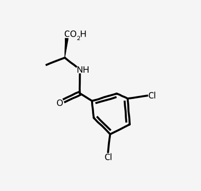 C[C@H](NC(=O)c1cc(Cl)cc(Cl)c1)C(=O)O